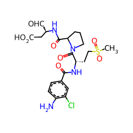 CS(=O)(=O)CC[C@H](NC(=O)c1ccc(N)c(Cl)c1)C(=O)N1CCCC1C(=O)N[C@H](C=O)CC(=O)O